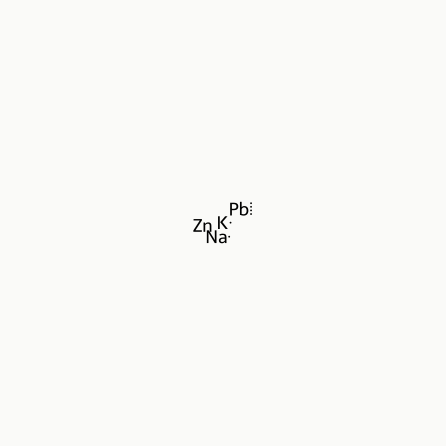 [K].[Na].[Pb].[Zn]